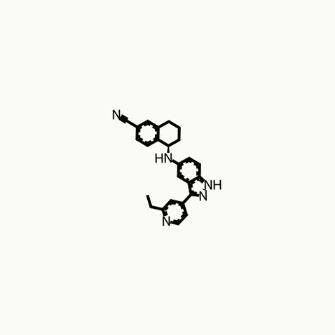 CCc1cc(-c2n[nH]c3ccc(N[C@@H]4CCCc5cc(C#N)ccc54)cc23)ccn1